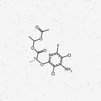 CC(=O)OC(C)OC(=O)[C@@H](C)Oc1nc(F)c(Cl)c(N)c1Cl